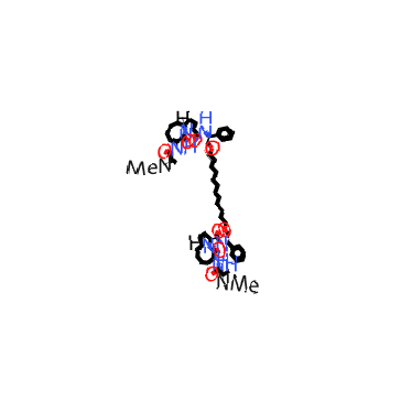 CN[C@@H](C)C(=O)N[C@H]1CCCC[C@H]2CCC(C(=O)N[C@H](COCCCCCCCCCCCCOC[C@@H](NC(=O)[C@@H]3CC[C@@H]4CCCC[C@H](NC(=O)[C@H](C)NC)C(=O)N43)c3ccccc3)c3ccccc3)N2C1=O